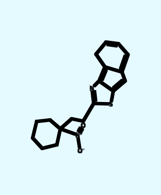 O=[N+]([O-])C1(CCc2nc3c(s2)=CC2=CC=CCC=32)CCCCC1